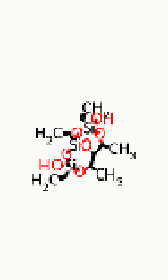 C=C[Si]1(O)OC(C)C2O[Si](C=C)(O1)O[Si](O)(C=C)OC2C